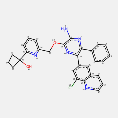 Nc1nc(-c2ccccc2)c(-c2cc(Cl)c3ncccc3c2)nc1OCc1cccc(C2(O)CCC2)n1